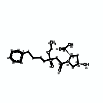 CCOP(=O)(CCCCc1ccccc1)CC(=O)N1C[C@@H](O)C[C@H]1C(=O)O